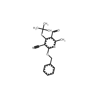 Cc1nc(OCc2ccccc2)c(C#N)c(SC(C)(C)C)c1C=O